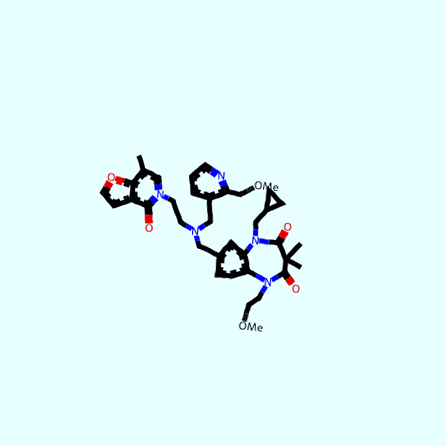 COCCN1C(=O)C(C)(C)C(=O)N(CC2CC2)c2cc(CN(CCn3cc(C)c4occc4c3=O)Cc3cccnc3COC)ccc21